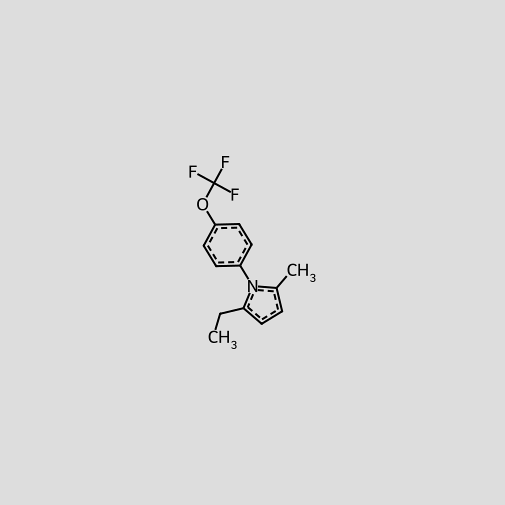 CCc1ccc(C)n1-c1ccc(OC(F)(F)F)cc1